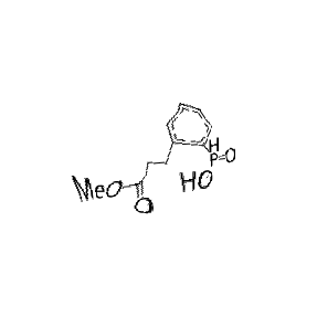 COC(=O)CCc1ccccc1[PH](=O)O